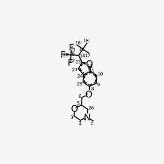 CN1CCOC(COc2ccc3oc(C(C(C)(C)C)C(F)(F)F)cc3c2)C1